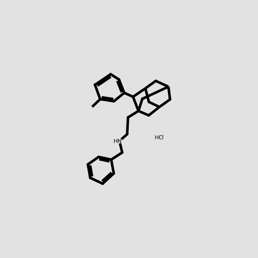 Cc1cccc(C2C3CC4CC(C3)CC2(CCNCc2ccccc2)C4)c1.Cl